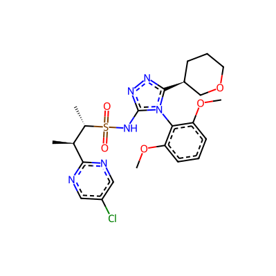 COc1cccc(OC)c1-n1c(NS(=O)(=O)[C@@H](C)[C@H](C)c2ncc(Cl)cn2)nnc1[C@H]1CCCOC1